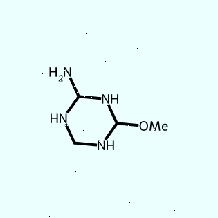 COC1NCNC(N)N1